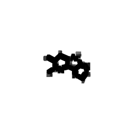 C=C1C=CC(c2nccnc2C(C)=O)=NN1C